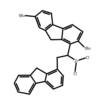 CC(C)(C)c1ccc2c(c1)Cc1c-2ccc(C(C)(C)C)c1[CH](Cc1cccc2c1Cc1ccccc1-2)[Zr]([Cl])[Cl]